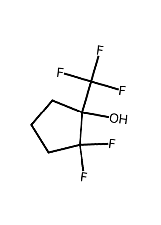 OC1(C(F)(F)F)CCCC1(F)F